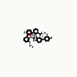 Cc1cccc2c3ccccc3n(-c3nc4ccc(-c5ccc(F)cc5)cc4n3-c3c(C(C)C)cccc3C(C)C)c12